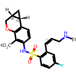 CCNC/C=C\c1cc(F)ccc1S(=O)(=O)Nc1ccc2c(c1C(=O)O)OC[C@@H]1C[C@H]21